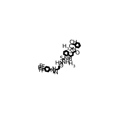 CC(C)c1ccccc1N1CSC(CC(C)c2ccccc2NC(=S)NNO/C=C/c2ncn(-c3ccc(S(F)(F)(F)(F)F)cc3)n2)C1=O